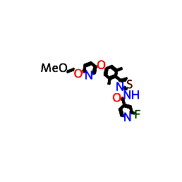 COCCOc1ccc(Oc2cc(C)c(-c3csc(NC(=O)c4ccnc(F)c4)n3)c(C)c2)cn1